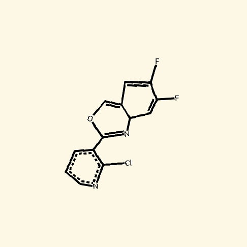 FC1=CC2=COC(c3cccnc3Cl)=NC2C=C1F